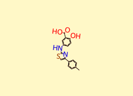 Cc1ccc(-c2csc(Nc3ccc(O)c(C(=O)O)c3)n2)cc1